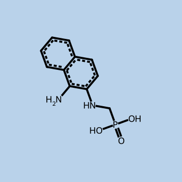 Nc1c(NCP(=O)(O)O)ccc2ccccc12